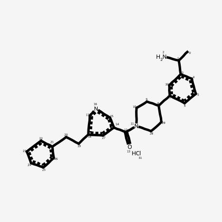 CC(N)c1cccc(C2CCN(C(=O)c3cncc(CCc4ccccc4)c3)CC2)c1.Cl